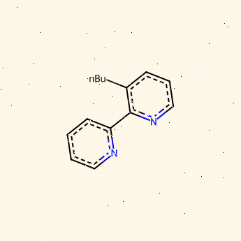 CCCCc1cccnc1-c1ccccn1